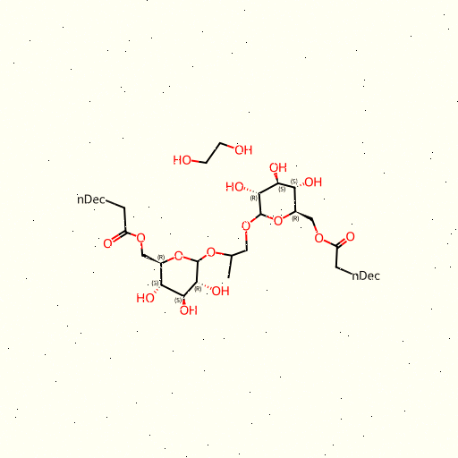 CCCCCCCCCCCC(=O)OC[C@H]1OC(OCC(C)OC2O[C@H](COC(=O)CCCCCCCCCCC)[C@@H](O)[C@H](O)[C@H]2O)[C@H](O)[C@@H](O)[C@@H]1O.OCCO